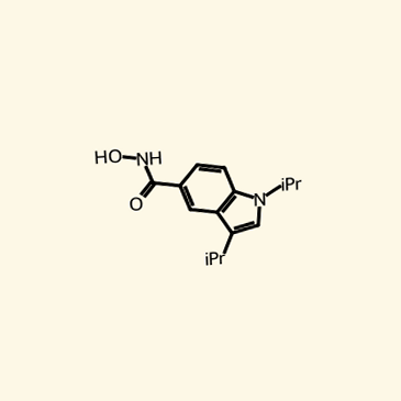 CC(C)c1cn(C(C)C)c2ccc(C(=O)NO)cc12